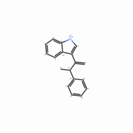 C=C(c1c[nH]c2ccccc12)C(C)c1ccccc1